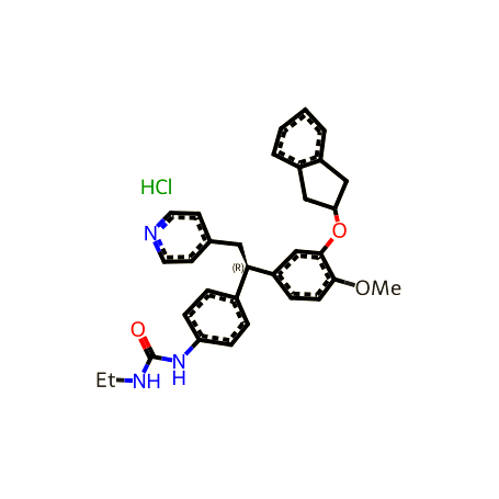 CCNC(=O)Nc1ccc([C@@H](Cc2ccncc2)c2ccc(OC)c(OC3Cc4ccccc4C3)c2)cc1.Cl